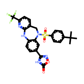 CC(C)(C)c1ccc(S(=O)(=O)N2Cc3ccc(C(F)(F)F)nc3Nc3ccc(-c4noc(=O)[nH]4)cc32)cc1